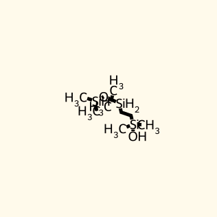 C[SiH](C)OC(C)(C)[SiH2]CC[Si](C)(C)O